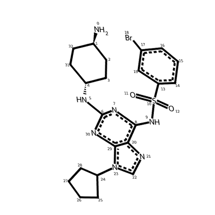 N[C@H]1CC[C@H](Nc2nc(NS(=O)(=O)c3cccc(Br)c3)c3ncn(C4CCCC4)c3n2)CC1